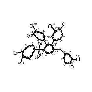 OC(O)(c1ccc(Cl)c(Cl)c1)c1ccc(Cc2ccc(Cl)c(Cl)c2)c(-c2ccc(Cl)c(Cl)c2)c1-c1ccc(Cl)c(Cl)c1